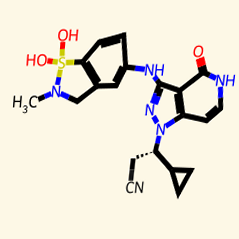 CN1Cc2cc(Nc3nn([C@@H](CC#N)C4CC4)c4cc[nH]c(=O)c34)ccc2S1(O)O